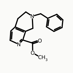 COC(=O)c1nccc2c1CN(Cc1ccccc1)CC2